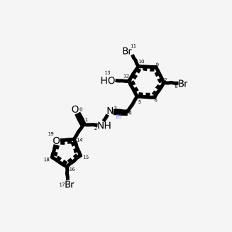 O=C(N/N=C/c1cc(Br)cc(Br)c1O)c1cc(Br)co1